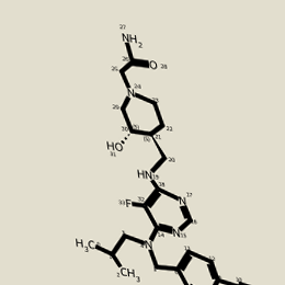 CC(C)CN(Cc1ccc(C#N)cc1)c1ncnc(NC[C@@H]2CCN(CC(N)=O)C[C@H]2O)c1F